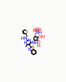 Cc1nc(NCc2cccs2)nc(N[C@@H]2C[C@H](CNS(C)(=O)=O)[C@@H](O)[C@H]2O)c1-c1nc2ccccc2s1